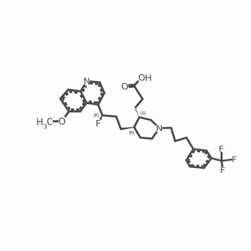 COc1ccc2nccc([C@H](F)CC[C@@H]3CCN(CCCc4cccc(C(F)(F)F)c4)C[C@H]3CCC(=O)O)c2c1